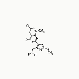 COc1cc(-c2nc3c(C)cc(Cl)cc3c(=O)o2)n(CC(F)F)n1